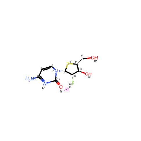 I.Nc1ccn([C@@H]2S[C@H](CO)[C@@H](O)[C@@H]2F)c(=O)n1